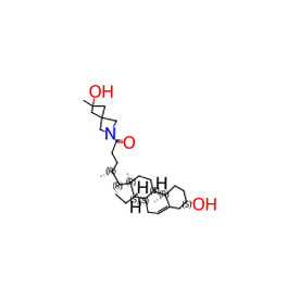 C[C@H](CCC(=O)N1CC2(C1)CC(C)(O)C2)[C@H]1CC[C@H]2[C@@H]3CC=C4C[C@@H](O)CC[C@]4(C)[C@H]3CC[C@]12C